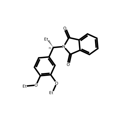 CCOc1ccc([C@H](CC)N2C(=O)c3ccccc3C2=O)cc1OCC